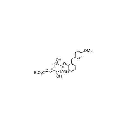 CCOC(=O)OC[C@H]1O[C@@H](O)[C@H](Oc2ccccc2Cc2ccc(OC)cc2)[C@@H](O)[C@@H]1O